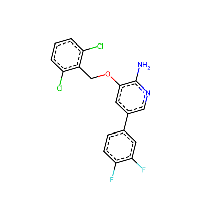 Nc1ncc(-c2ccc(F)c(F)c2)cc1OCc1c(Cl)cccc1Cl